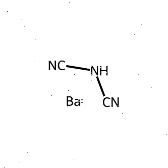 N#CNC#N.[Ba]